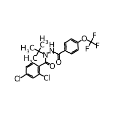 CC(C)(C)N(NC(=O)c1ccc(OC(F)(F)F)cc1)C(=O)c1ccc(Cl)cc1Cl